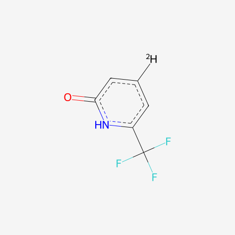 [2H]c1cc(C(F)(F)F)[nH]c(=O)c1